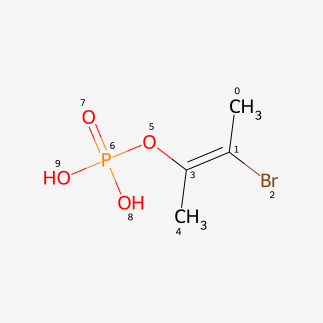 CC(Br)=C(C)OP(=O)(O)O